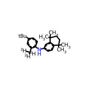 [2H]C([2H])([2H])c1cc(C(C)(C)C)ccc1Nc1ccc2c(c1)C(C)(C)CCC2(C)C